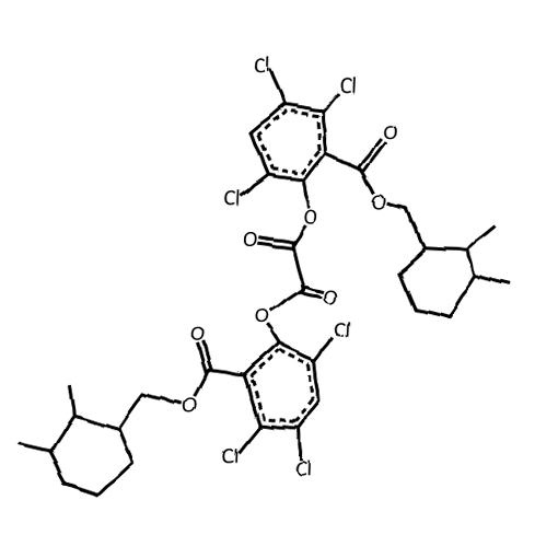 CC1CCCC(COC(=O)c2c(Cl)c(Cl)cc(Cl)c2OC(=O)C(=O)Oc2c(Cl)cc(Cl)c(Cl)c2C(=O)OCC2CCCC(C)C2C)C1C